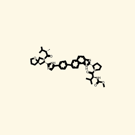 COC(=O)N[C@H](C(=O)N1CCC[C@H]1c1nc2ccc3cc(-c4ccc(-c5cnc([C@@H]6C[C@]7(CCCO7)CN6C(=O)[C@@H](C)C(C)C)[nH]5)cc4)ccc3c2[nH]1)C(C)C